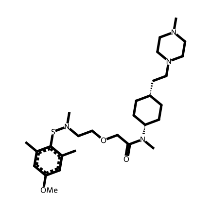 COc1cc(C)c(SN(C)CCOCC(=O)N(C)[C@H]2CC[C@@H](CCN3CCN(C)CC3)CC2)c(C)c1